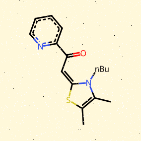 CCCCN1C(=CC(=O)c2ccccn2)SC(C)=C1C